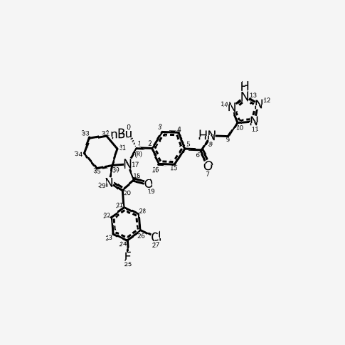 CCCC[C@H](c1ccc(C(=O)NCc2nn[nH]n2)cc1)N1C(=O)C(c2ccc(F)c(Cl)c2)=NC12CCCCC2